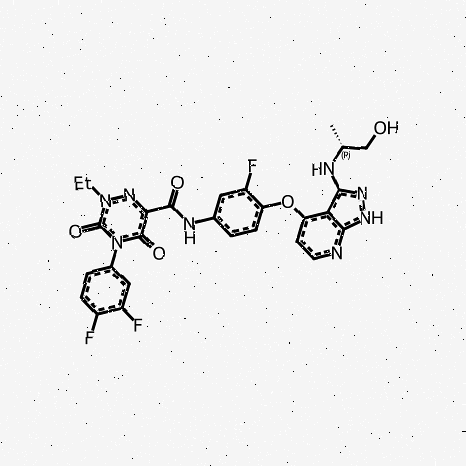 CCn1nc(C(=O)Nc2ccc(Oc3ccnc4[nH]nc(N[C@H](C)CO)c34)c(F)c2)c(=O)n(-c2ccc(F)c(F)c2)c1=O